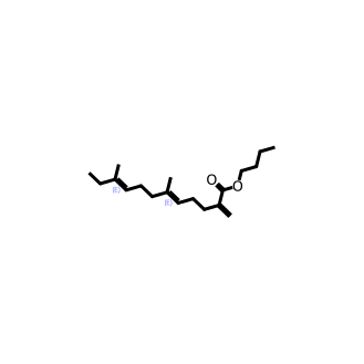 C=C(CC/C=C(\C)CC/C=C(\C)CC)C(=O)OCCCC